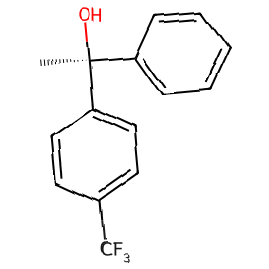 C[C@](O)(c1ccccc1)c1ccc(C(F)(F)F)cc1